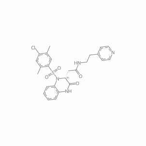 Cc1cc(S(=O)(=O)N2c3ccccc3NC(=O)[C@H]2CC(=O)NCCc2ccncc2)c(C)cc1Cl